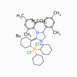 Cc1cc(C)c(C2CNC(=C3CCCCC3P(Cl)(Cl)(C3CCCCC3)C3CCCCC3)N2c2c(C)cc(C)cc2C)c(C)c1.[Ru]